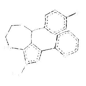 Cn1nc(-c2ccccn2)c2c1NCCSC2c1ccc(Br)cc1